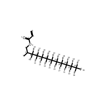 C=CC(=O)OCC(C)C(F)(F)C(F)(F)C(F)(F)C(F)(F)C(F)(F)C(F)(F)C(F)(F)C(F)(F)C(F)(F)C(F)(F)F